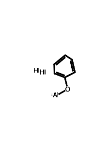 I.I.[Al][O]c1ccccc1